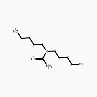 N=C(N)N(CCCCO)CCCCO